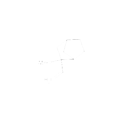 C=CC1(OC)CC2CCC1C2